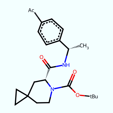 CC(=O)c1ccc([C@H](C)NC(=O)[C@H]2CC3(CCN2C(=O)OC(C)(C)C)CC3)cc1